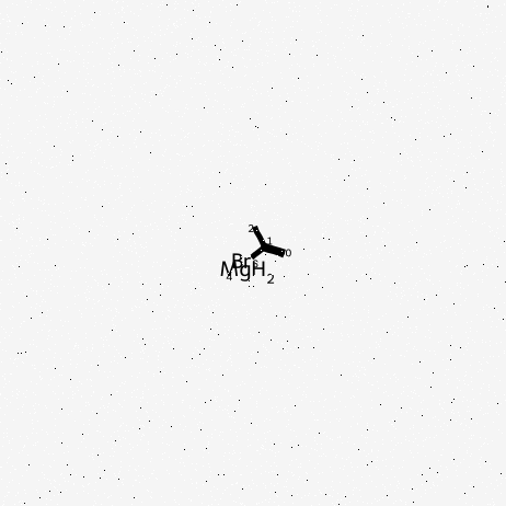 C=C(C)Br.[MgH2]